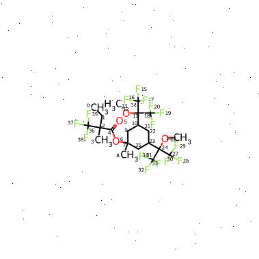 CCC(C)(C(=O)OC1(C)CC(C(OC)(C(F)(F)F)C(F)(F)F)CC(C(OC)(C(F)(F)F)C(F)(F)F)C1)C(F)(F)F